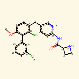 COc1ccc(Cc2ccc(NC(=O)C3CCN3)nc2)c(F)c1-c1cccc(Cl)c1